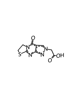 O=C(O)Cn1cc2c(=O)n3c(nc2n1)SCC3